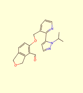 CC(C)n1nccc1-c1ncccc1COc1ccc2c(c1C=O)COC2